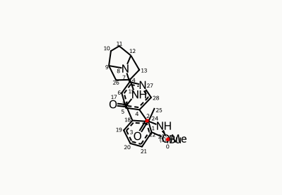 CC[C@H](C)NC(=O)c1ccc(N2C3CCC2CC(NC(=O)c2cccc(OC)c2C)C3)nc1